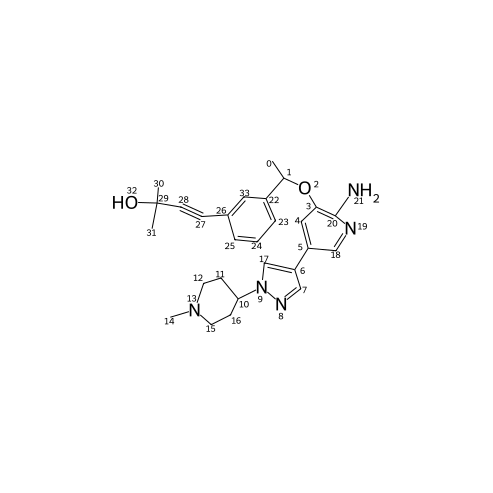 CC(Oc1cc(-c2cnn(C3CCN(C)CC3)c2)cnc1N)c1cccc(C#CC(C)(C)O)c1